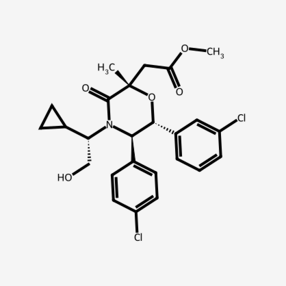 COC(=O)C[C@]1(C)O[C@H](c2cccc(Cl)c2)[C@@H](c2ccc(Cl)cc2)N([C@H](CO)C2CC2)C1=O